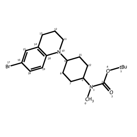 CN(C(=O)OC(C)(C)C)C1CCC(N2CCCc3cc(Br)ccc32)CC1